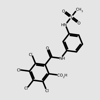 CS(=O)(=O)Nc1cccc(NC(=O)c2c(Cl)c(Cl)c(Cl)c(Cl)c2C(=O)O)c1